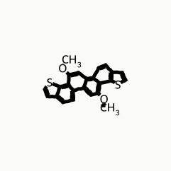 COc1cc2c(cc(OC)c3c2ccc2ccsc23)c2ccc3ccsc3c12